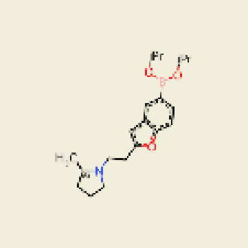 CC(C)OB(OC(C)C)c1ccc2oc(CCN3CCC[C@H]3C)cc2c1